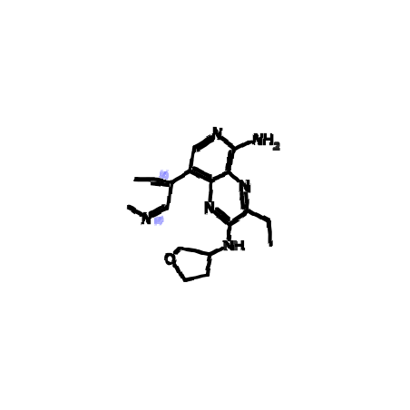 C/C=C(\C=N/C)c1cnc(N)c2nc(CC)c(NC3CCOC3)nc12